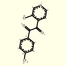 O=C(C(=O)c1ccncc1Cl)c1ccc(C(F)(F)F)cc1